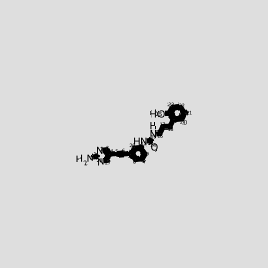 Nc1ncc(C#Cc2cccc(NC(=O)NCCCc3ccccc3O)c2)cn1